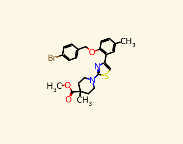 COC(=O)C1(C)CCN(c2nc(-c3cc(C)ccc3OCc3ccc(Br)cc3)cs2)CC1